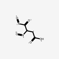 O=NC(=O)C(CC(=O)O)N=O